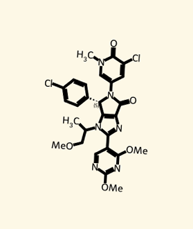 COCC(C)n1c(-c2cnc(OC)nc2OC)nc2c1[C@H](c1ccc(Cl)cc1)N(c1cc(Cl)c(=O)n(C)c1)C2=O